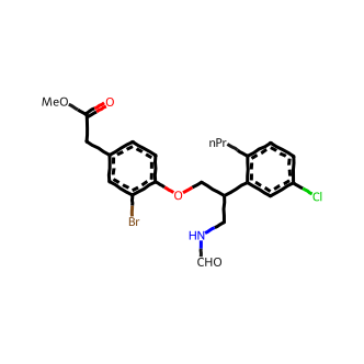 CCCc1ccc(Cl)cc1C(CNC=O)COc1ccc(CC(=O)OC)cc1Br